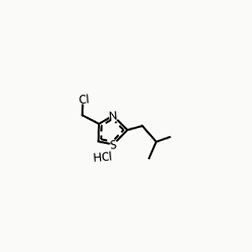 CC(C)Cc1nc(CCl)cs1.Cl